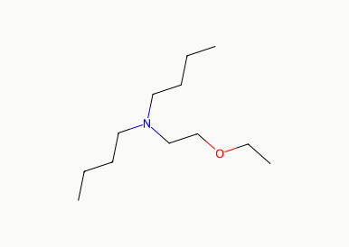 CCCCN(CCCC)CCOCC